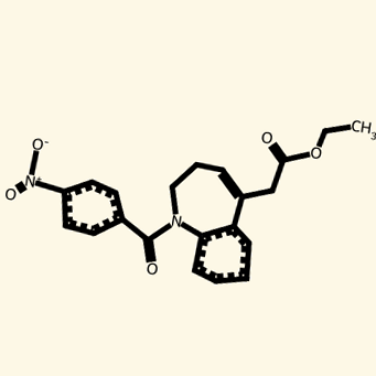 CCOC(=O)CC1=CCCN(C(=O)c2ccc([N+](=O)[O-])cc2)c2ccccc21